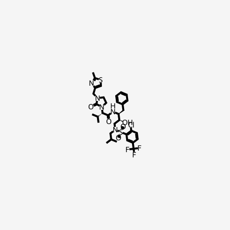 Cc1nc(CN2CCN([C@H](C(=O)N[C@@H](Cc3ccccc3)[C@H](O)CN(CC(C)C)S(=O)(=O)c3cc(C(F)(F)F)ccc3Cl)C(C)C)C2=O)cs1